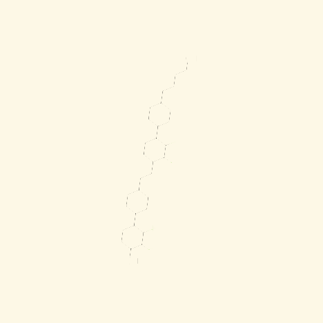 CCCCCC1CCC(C2CCC(CCC3CCC(C4CCC(C)C(F)C4F)CC3)C(F)C2F)CC1